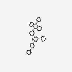 c1ccc(-c2c3ccccc3c(-c3cccc(-c4nc(-c5ccc(-c6ccccn6)cc5)cc(-c5cccnc5)n4)c3)c3ccccc23)cc1